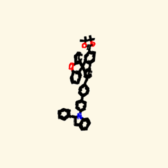 CC1(C)OB(c2ccc3c(c2)C2(c4ccccc4Oc4ccccc42)c2cc(-c4ccc(-c5ccc(N6c7ccccc7CC6c6ccccc6)cc5)cc4)ccc2-3)OC1(C)C